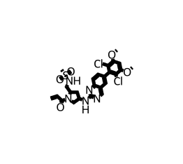 C=CC(=O)N1CC(Nc2ncc3cc(-c4c(Cl)c(OC)cc(OC)c4Cl)ccc3n2)CC1CNS(C)(=O)=O